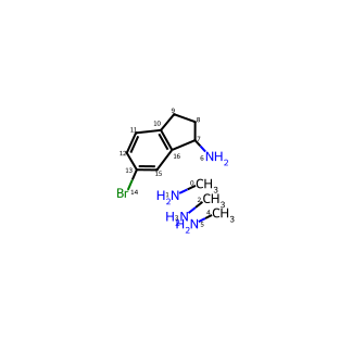 CN.CN.CN.NC1CCc2ccc(Br)cc21